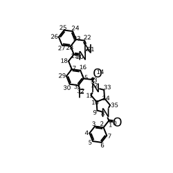 O=C(c1ccccc1)N1CC2CN(C(=O)c3cc(Cc4nncc5ccccc45)ccc3F)CC2C1